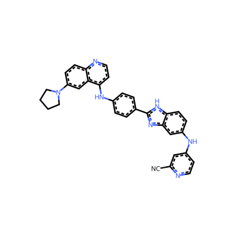 N#Cc1cc(Nc2ccc3[nH]c(-c4ccc(Nc5ccnc6ccc(N7CCCC7)cc56)cc4)nc3c2)ccn1